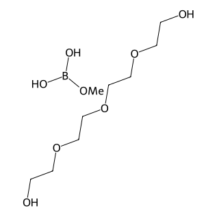 COB(O)O.OCCOCCOCCOCCO